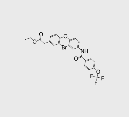 CCOC(=O)Cc1ccc(Oc2ccc(NC(=O)c3ccc(OC(F)(F)F)cc3)cc2)c(Br)c1